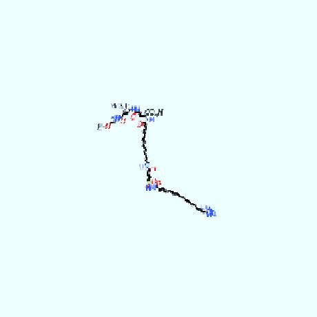 CCOCCNC(=O)CCC(NC(=O)CCC(NC(=O)CCCCCCCCCCCNC(=O)CCCS(=O)(=O)NC(=O)CCCCCCCCCCCCCCCc1nnn[nH]1)C(=O)O)C(=O)O